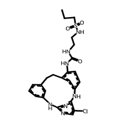 CCCS(=O)(=O)NCCNC(=O)Nc1ccc2cc1CCc1cccc(c1)Nc1ncc(Cl)c(n1)N2